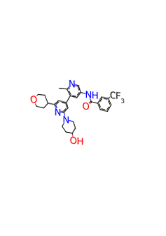 Cc1ncc(NC(=O)c2cccc(C(F)(F)F)c2)cc1-c1cc(C2CCOCC2)nc(N2CCC(O)CC2)c1